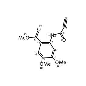 C#CC(=O)Nc1cc(OC)c(OC)cc1C(=O)OC